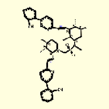 C[C@H]1[C@@H](/C=C/c2ccc(-c3ccccc3C#N)cn2)[C@H](C)[C@@H](C)C[C@H]1N(C)S(=O)(=O)C[C@@H]1CC[C@H](C)[C@@H](C)[C@@H]1/C=C/c1ccc(-c2ccccc2C#N)cn1